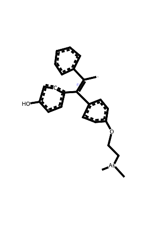 [CH2]/C(=C(/c1ccc(O)cc1)c1ccc(OCC[As](C)C)cc1)c1ccccc1